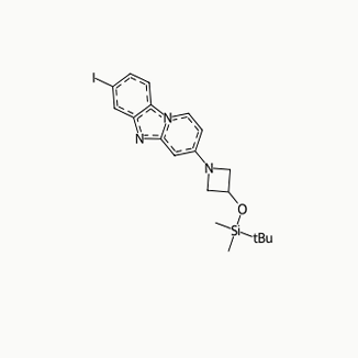 CC(C)(C)[Si](C)(C)OC1CN(c2ccn3c(c2)nc2cc(I)ccc23)C1